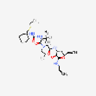 C#CCCC(NC(=O)CN(CCC)C(=O)[C@@H](NC(=O)NC1(CSCC)CCCCC1)C(C)(C)C)C(=O)C(=O)NCC=C